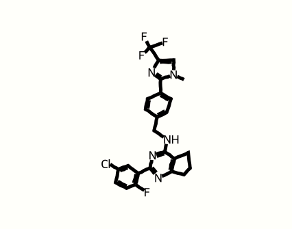 Cn1cc(C(F)(F)F)nc1-c1ccc(CNc2nc(-c3cc(Cl)ccc3F)nc3c2CCC3)cc1